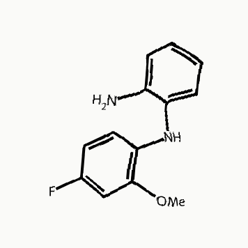 COc1cc(F)ccc1Nc1ccccc1N